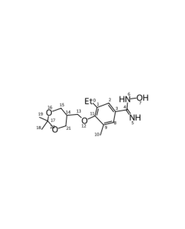 CCc1cc(C(=N)NO)cc(C)c1OCC1COC(C)(C)OC1